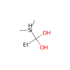 CCC(O)(O)[SiH](C)C